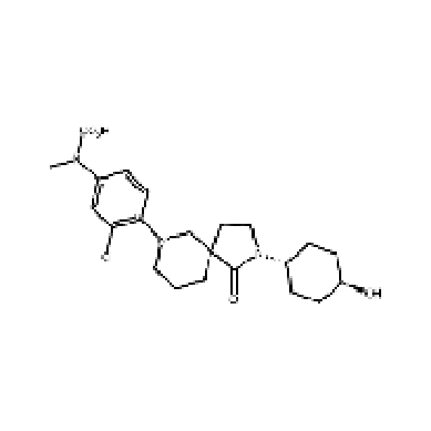 CN(C(=O)O)c1ccc(N2CCC[C@]3(CCN([C@H]4CC[C@H](O)CC4)C3=O)C2)c(Cl)c1